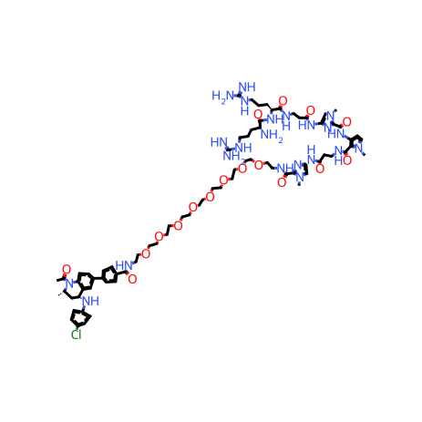 CC(=O)N1c2ccc(-c3ccc(C(=O)NCCOCCOCCOCCOCCOCCOCCOCCOCCNC(=O)c4nc(NC(=O)CCNC(=O)c5c(NC(=O)c6nc(NC(=O)CCNC(=O)[C@H](CCCNC(=N)N)NC(=O)[C@@H](N)CCCNC(=N)N)cn6C)ccn5C)cn4C)cc3)cc2[C@H](Nc2ccc(Cl)cc2)C[C@@H]1C